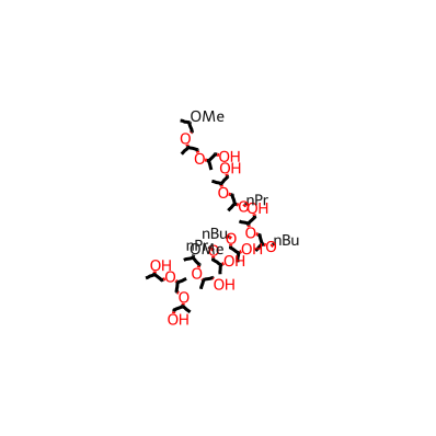 CC(O)COC(C)COC(C)CO.CCCCOC(C)COC(C)CO.CCCCOCC(C)O.CCCOC(C)COC(C)CO.CCCOCC(C)O.COC(C)COC(C)CO.COC(C)COC(C)COC(C)CO